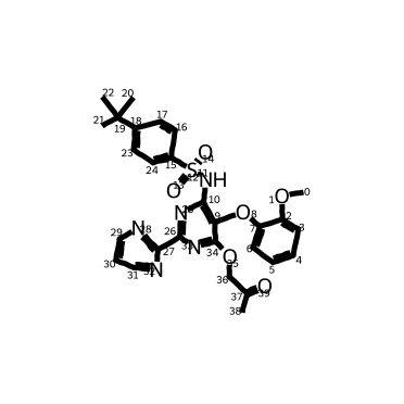 COc1ccccc1Oc1c(NS(=O)(=O)c2ccc(C(C)(C)C)cc2)nc(-c2ncccn2)nc1OCC(C)=O